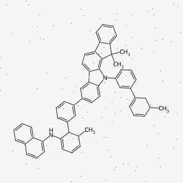 CC1C=CC=C(c2cccc(-n3c4ccc(-c5cccc(C6C(Nc7cccc8ccccc78)=CC=CC6C)c5)cc4c4ccc5c(c43)C(C)(C)c3ccccc3-5)c2)C1